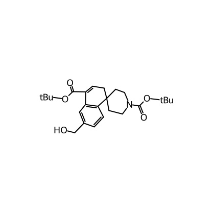 CC(C)(C)OC(=O)C1=CCC2(CCN(C(=O)OC(C)(C)C)CC2)c2ccc(CO)cc21